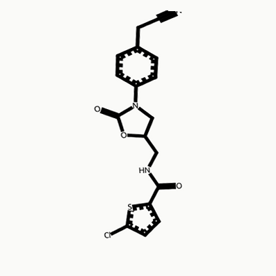 N#CCc1ccc(N2CC(CNC(=O)c3ccc(Cl)s3)OC2=O)cc1